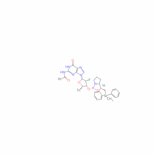 CC[C@H]1O[C@@H](n2cnc3c(=O)[nH]c(NC(=O)C(C)C)nc32)[C@@H](F)C1O[P@@]1O[C@H](C[Si](C)(c2ccccc2)c2ccccc2)[C@@H]2CCCN21